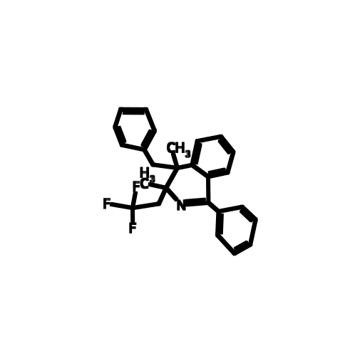 CC1(CC(F)(F)F)N=C(c2ccccc2)c2ccccc2C1(C)Cc1ccccc1